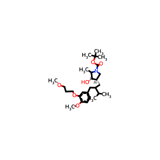 COCCCOc1cc(CC(C[C@H]2CN(C(=O)OC(C)(C)C)C(C)[C@H]2O)C(C)C)ccc1OC